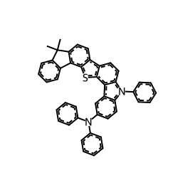 CC1(C)c2ccccc2-c2c1ccc1c2sc2c1ccc1c2c2cc(N(c3ccccc3)c3ccccc3)ccc2n1-c1ccccc1